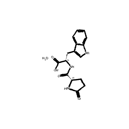 O.O=C1CC[C@@H](C(=O)N[C@@H](Cc2c[nH]c3ccccc23)C(=O)O)N1